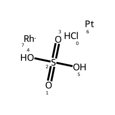 Cl.O=S(=O)(O)O.[Pt].[Rh]